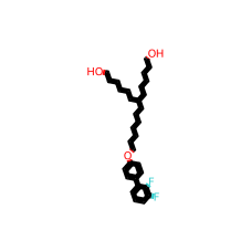 OCCCCCCC(CCCCCCO)CCCCCCCOc1ccc(-c2cccc(F)c2F)cc1